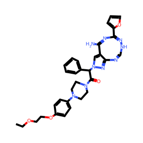 CCOCCOc1ccc(N2CCN(C(=O)C(c3ccccc3)n3cc4c(N)nc(-c5ccco5)n[nH]cnc4n3)CC2)cc1